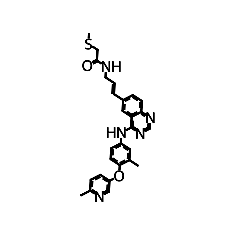 CSCC(=O)NCC=Cc1ccc2ncnc(Nc3ccc(Oc4ccc(C)nc4)c(C)c3)c2c1